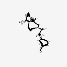 Nc1ncnc2c1CCN(C(=O)COc1ccc(Cl)cc1)C2